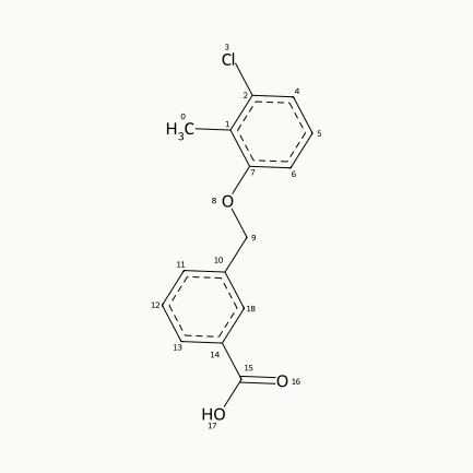 Cc1c(Cl)cccc1OCc1cccc(C(=O)O)c1